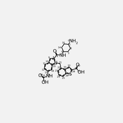 NC1CCC(NC(=O)c2cc3ccc(NC(=O)O)cc3n2Cc2cccc3sc(C(=O)O)cc23)CC1